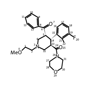 COCCN1C[C@H](C(=O)c2ccccc2)[C@H](c2cccc(F)c2C)[C@@H](C(=O)N2CCOCC2)C1